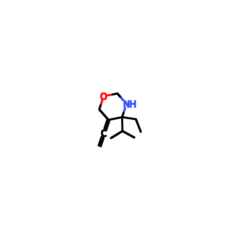 C=C=C1COCNC1(CC)C(C)C